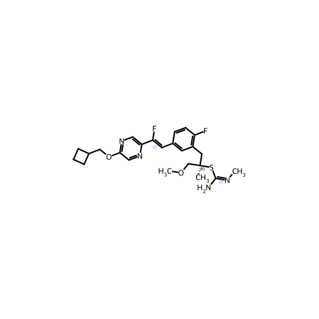 C/N=C(/N)S[C@@](C)(COC)Cc1cc(/C=C(\F)c2cnc(OCC3CCC3)cn2)ccc1F